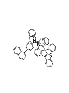 c1ccc(N(c2ccc(-c3cccc4ccccc34)cc2)c2ccc3c(c2)C2(c4ccccc4-3)c3sc4ccccc4c3-c3cccc(N(c4ccccc4)c4ccccc4)c32)cc1